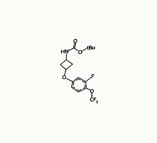 CC(C)(C)OC(=O)NC1CC(Oc2ccc(OC(F)(F)F)c(F)c2)C1